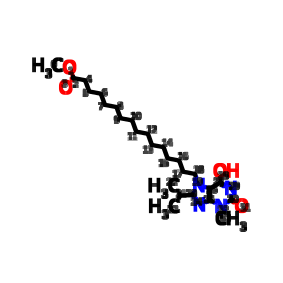 COC(=O)CCCCCCCCCCCCCCCn1c(C(C)C)nc2c1c(O)nc(=O)n2C